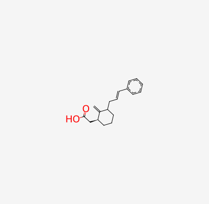 C=C1C(C/C=C/c2ccccc2)CCC[C@H]1CC(=O)O